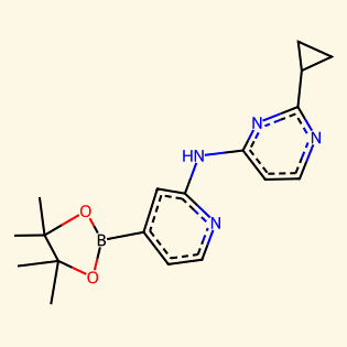 CC1(C)OB(c2ccnc(Nc3ccnc(C4CC4)n3)c2)OC1(C)C